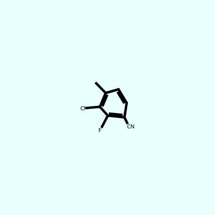 Cc1ccc(C#N)c(F)c1Cl